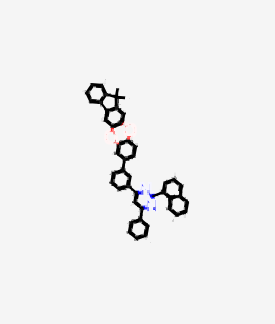 CC1(C)c2ccccc2-c2cc3c(cc21)Oc1ccc(-c2cccc(-c4cc(-c5ccccc5)nc(-c5cccc6ccccc56)n4)c2)cc1O3